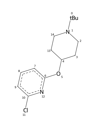 CC(C)(C)N1CCC(Oc2cccc(Cl)n2)CC1